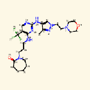 Cc1nn(CCN2CCOCC2)cc1Nc1ncc(C(F)(F)F)c(NCCCN2CCCCCC2=O)n1